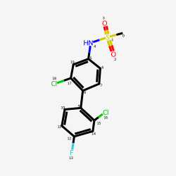 CS(=O)(=O)Nc1ccc(-c2ccc(F)cc2Cl)c(Cl)c1